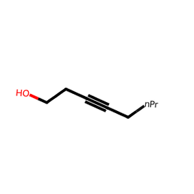 CCCCC#CCCO